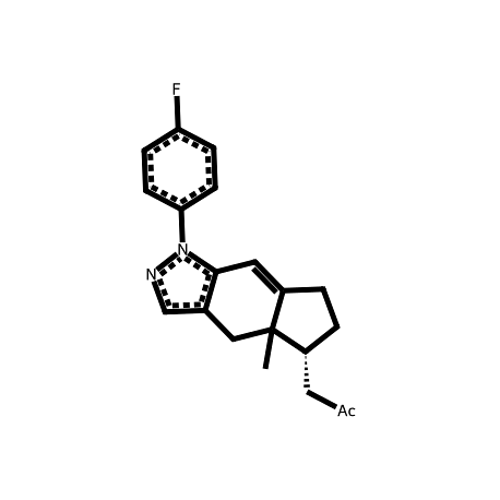 CC(=O)C[C@H]1CCC2=Cc3c(cnn3-c3ccc(F)cc3)CC21C